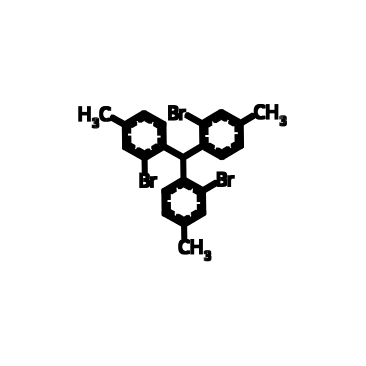 Cc1ccc(C(c2ccc(C)cc2Br)c2ccc(C)cc2Br)c(Br)c1